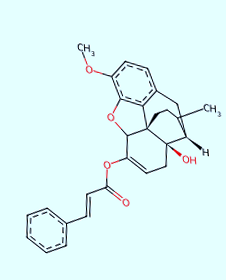 COc1ccc2c3c1OC1C(OC(=O)/C=C/c4ccccc4)=CC[C@@]4(O)[C@@H](C2)C(C)CC[C@]314